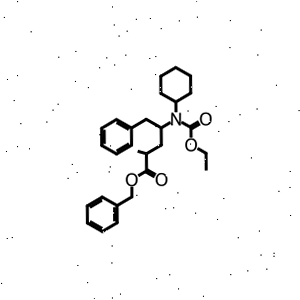 CCOC(=O)N(C1CCCCC1)C(Cc1ccccc1)CC(C)C(=O)OCc1ccccc1